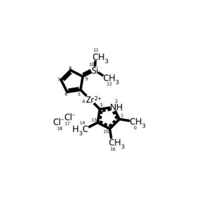 Cc1[nH][c]([Zr+2][C]2=CC=CC2=[Si](C)C)c(C)c1C.[Cl-].[Cl-]